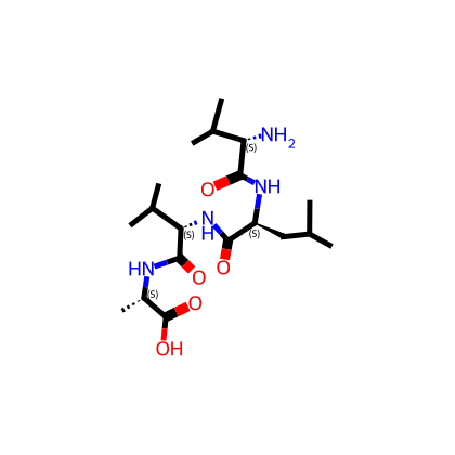 CC(C)C[C@H](NC(=O)[C@@H](N)C(C)C)C(=O)N[C@H](C(=O)N[C@@H](C)C(=O)O)C(C)C